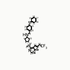 CN(C[C@@H]1CCC(NCc2ccc(Sc3ccccc3)cc2)C1)c1ncnc2sc(CC(F)(F)F)cc12